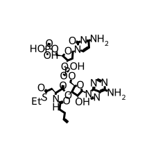 C=CCCC(=O)N[C@@H](CC(=O)SCC)C(=O)O[C@H]1[C@@H](O)[C@H](n2cnc3c(N)ncnc32)O[C@@H]1COP(=O)(O)O[C@H]1C[C@H](n2ccc(N)nc2=O)O[C@@H]1COP(=O)(O)O